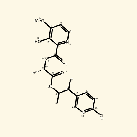 COc1ccnc(C(=O)N[C@@H](C)C(=O)OC(C)C(C)c2ccc(Cl)nc2)c1O